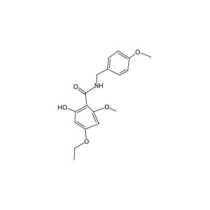 CCOc1cc(O)c(C(=O)NCc2ccc(OC)cc2)c(OC)c1